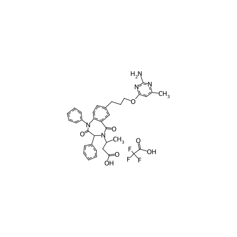 Cc1cc(OCCCc2ccc3c(c2)C(=O)N(C(C)CC(=O)O)C(c2ccccc2)C(=O)N3c2ccccc2)nc(N)n1.O=C(O)C(F)(F)F